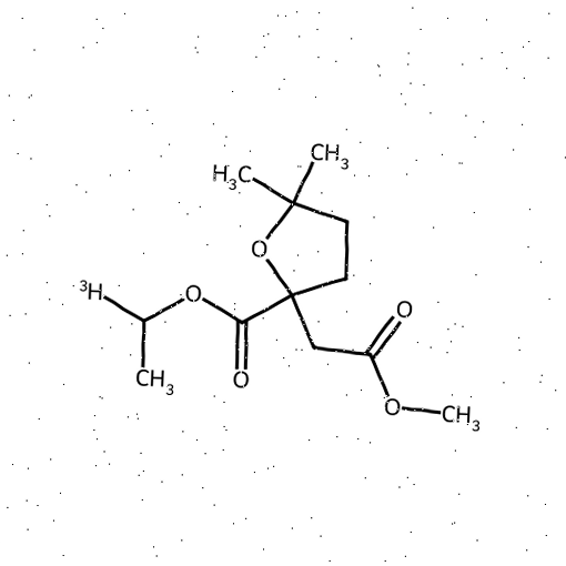 [3H]C(C)OC(=O)C1(CC(=O)OC)CCC(C)(C)O1